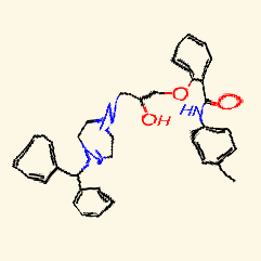 Cc1ccc(NC(=O)c2ccccc2OCC(O)CN2CCN(C(c3ccccc3)c3ccccc3)CC2)cc1